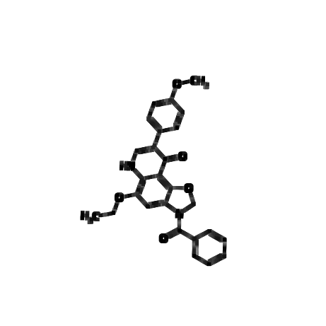 CCOc1cc2c(c3c(=O)c(-c4ccc(OC)cc4)c[nH]c13)OCN2C(=O)c1ccccc1